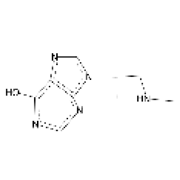 CNCC(C)(C)n1cnc2c(O)ncnc21